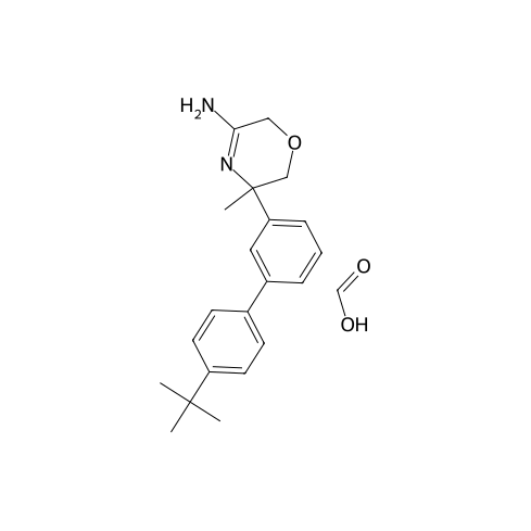 CC(C)(C)c1ccc(-c2cccc(C3(C)COCC(N)=N3)c2)cc1.O=CO